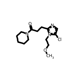 COCCn1c(Cl)cnc1CCC(=O)N1CCCCC1